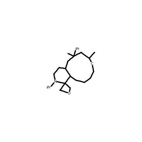 CC1CCCCCC2C(CCN(C(C)C)C23COC3)CC(C)(C(C)C)C1